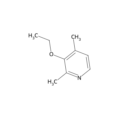 CCOc1c(C)ccnc1C